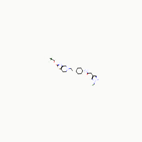 CC(F)(F)COc1nc2c(s1)CCN(CC[C@H]1CC[C@H](NC(=O)Cc3cnn(CF)c3)CC1)C2